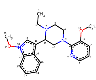 CCN1CCN(c2ncccc2OC)CC1c1cn(OC)c2ccccc12